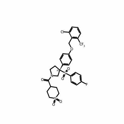 O=C(C1CCS(=O)(=O)CC1)N1CC[C@](c2ccc(OCc3c(Cl)cccc3C(F)(F)F)cc2)(S(=O)(=O)c2ccc(F)cc2)C1